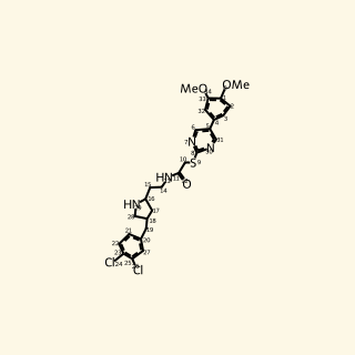 COc1ccc(-c2cnc(SCC(=O)NCCC3CC(Cc4ccc(Cl)c(Cl)c4)CN3)nc2)cc1OC